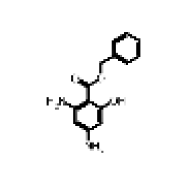 Nc1cc(N)c(C(=O)OCc2ccccc2)c(O)c1